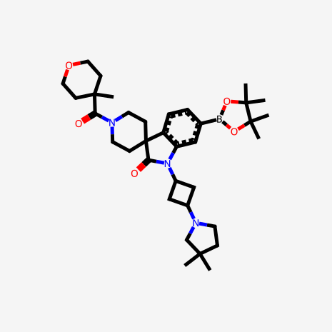 CC1(C)CCN(C2CC(N3C(=O)C4(CCN(C(=O)C5(C)CCOCC5)CC4)c4ccc(B5OC(C)(C)C(C)(C)O5)cc43)C2)C1